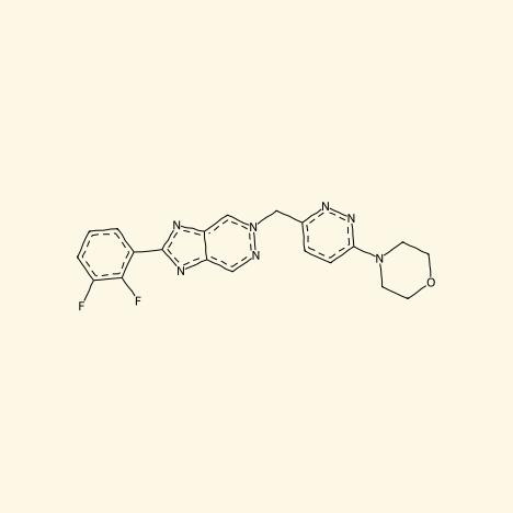 Fc1cccc(-c2nc3cnn(Cc4ccc(N5CCOCC5)nn4)cc-3n2)c1F